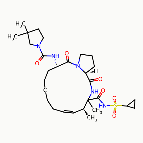 C[C@H]1/C=C\CCCCC[C@H](NC(=O)N2CCC(C)(C)C2)C(=O)N2CCC[C@H]2C(=O)NC1(C)C(=O)NS(=O)(=O)C1CC1